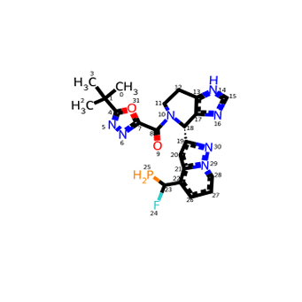 CC(C)(C)c1nnc(C(=O)N2CCc3[nH]cnc3[C@@H]2c2cc3c(C(F)P)cccn3n2)o1